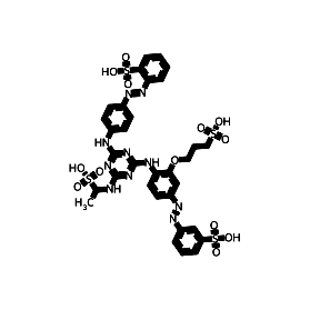 CC(Nc1nc(Nc2ccc(N=Nc3ccccc3S(=O)(=O)O)cc2)nc(Nc2ccc(N=Nc3cccc(S(=O)(=O)O)c3)cc2OCCCS(=O)(=O)O)n1)S(=O)(=O)O